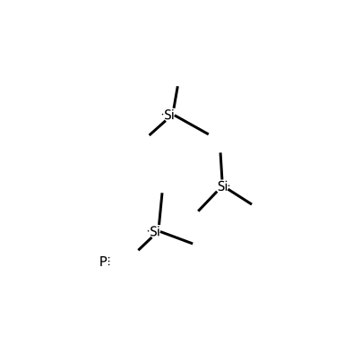 C[Si](C)C.C[Si](C)C.C[Si](C)C.[P]